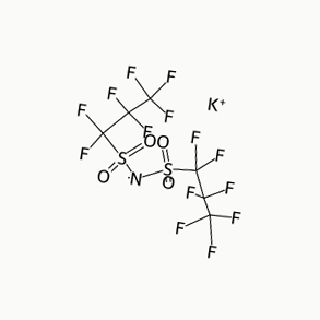 O=S(=O)([N]S(=O)(=O)C(F)(F)C(F)(F)C(F)(F)F)C(F)(F)C(F)(F)C(F)(F)F.[K+]